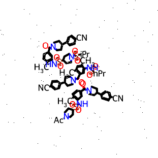 CC(=O)N1CCC(S(=O)(=O)Nc2cc(C(=O)N3CCC(c4ccc(C#N)cc4)CC3)ccc2C)CC1.CCCS(=O)(=O)Nc1cc(C(=O)N2CCC(c3ccc(C#N)cc3)CC2)c(C)cc1C.Cc1ccc(C(=O)N2CCC(c3ccc(C#N)cc3)CC2)cc1NS(=O)(=O)C1CCN(S(=O)(=O)C(C)C)CC1